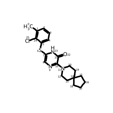 Cc1cccc(Sc2cnc(N3CCC4(CCCC4)CC3)c(=O)[nH]2)c1Cl